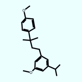 COc1ccc(C(C)(C)CCc2cc(OC)cc(C(C)C)c2)cc1